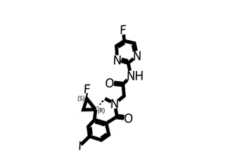 O=C(CN1C[C@@]2(C[C@@H]2F)c2cc(I)ccc2C1=O)Nc1ncc(F)cn1